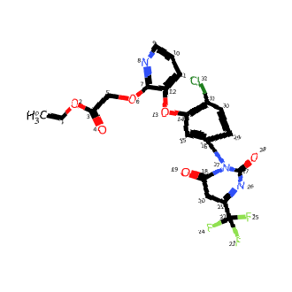 CCOC(=O)COc1ncccc1Oc1cc(N2C(=O)CC(C(F)(F)F)=NC2=O)ccc1Cl